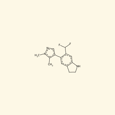 Cc1c(-c2cc3c(cc2C(F)F)NCC3)cnn1C